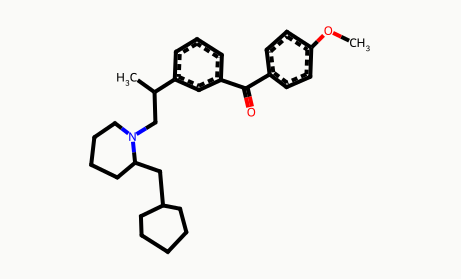 COc1ccc(C(=O)c2cccc(C(C)CN3CCCCC3CC3CCCCC3)c2)cc1